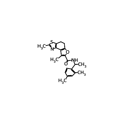 Cc1ccc(C(C)NC(=O)c2oc3c(c2C)-c2nc(C)sc2CC3)c(C)c1